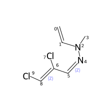 C=CN(C)/N=C\C(Cl)=C\Cl